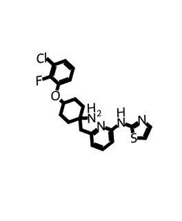 NC1(Cc2cccc(Nc3nccs3)n2)CCC(Oc2cccc(Cl)c2F)CC1